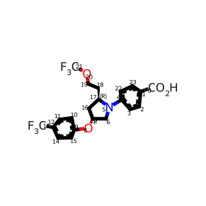 O=C(O)c1ccc(N2C[C@@H](Oc3ccc(C(F)(F)F)cc3)C[C@H]2CCOC(F)(F)F)cc1